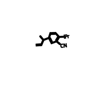 C=C[C](C)c1ccc(C(C)C)c(C#N)c1